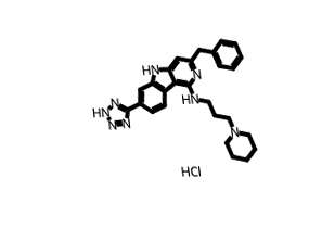 Cl.c1ccc(Cc2cc3[nH]c4cc(-c5nn[nH]n5)ccc4c3c(NCCCN3CCCCC3)n2)cc1